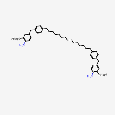 CCCCCCCc1cc(Cc2ccc(CCCCCCCCCCCCCCCc3ccc(Cc4ccc(N)c(CCCCCCC)c4)cc3)cc2)ccc1N